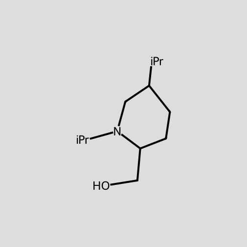 CC(C)C1CCC(CO)N(C(C)C)C1